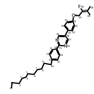 CCCCCCCCCCCc1ccc(-c2ncc(-c3ccc(OCC(F)C(C)C)cc3)cn2)cc1